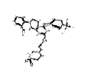 O=S1(=O)CCN(CCOc2nc3c(c(Nc4ccc(C(F)(F)F)cc4)n2)CCN(c2ccccc2Cl)C3)CC1